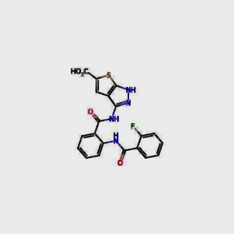 O=C(O)c1cc2c(NC(=O)c3ccccc3NC(=O)c3ccccc3F)n[nH]c2s1